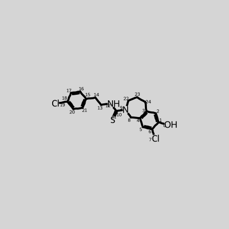 Oc1cc2c(cc1Cl)CN(C(=S)NCCc1ccc(Cl)cc1)CCC2